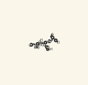 COCC1(C)CCC(c2ccc(Cl)cc2)=C(CN2CCN(c3ccc(C(=O)NS(=O)(=O)c4ccc(NCC5CCOCC5)c([N+](=O)[O-])c4)c(Oc4cnc5[nH]ccc5c4)c3)CC2)C1